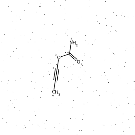 CC#COC(N)=O